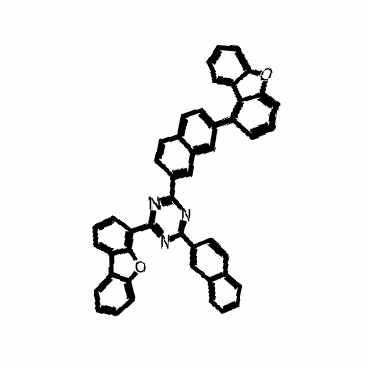 c1ccc2cc(-c3nc(-c4ccc5ccc(-c6cccc7oc8ccccc8c67)cc5c4)nc(-c4cccc5c4oc4ccccc45)n3)ccc2c1